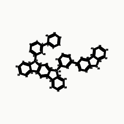 c1ccc(-c2cccc(-n3c4ccccc4c4cc5c6ccccc6n(-c6cccc(-c7ccc8sc9ccccc9c8c7)c6)c5cc43)n2)cc1